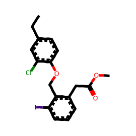 CCc1ccc(OCc2c(I)cccc2CC(=O)OC)c(Cl)c1